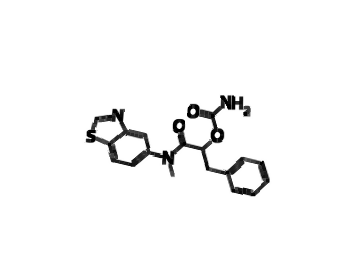 CN(C(=O)C(Cc1ccccc1)OC(N)=O)c1ccc2scnc2c1